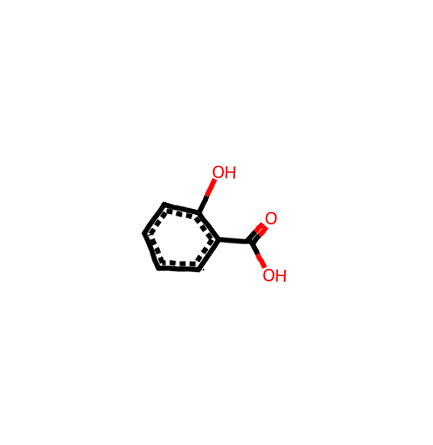 O=C(O)c1[c]cccc1O